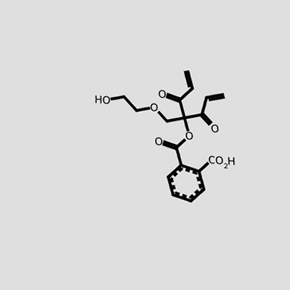 C=CC(=O)C(COCCO)(OC(=O)c1ccccc1C(=O)O)C(=O)C=C